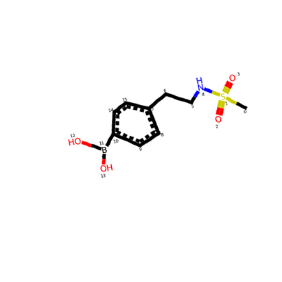 CS(=O)(=O)NCCc1ccc(B(O)O)cc1